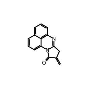 C=C1CC2=Nc3cccc4cccc(c34)N2C1=O